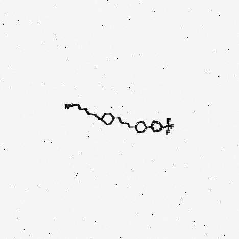 N#CC=CC=CCC[C@H]1CC[C@H](CCCC[C@H]2CC[C@H](c3ccc(C(F)(F)F)cc3)CC2)CC1